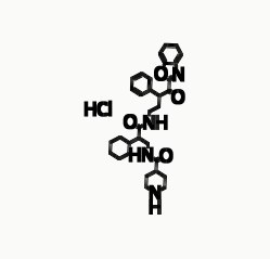 Cl.O=C(NCC(C(=O)NCCC(C(=O)c1nc2ccccc2o1)c1ccccc1)C1CCCCC1)C1CCNCC1